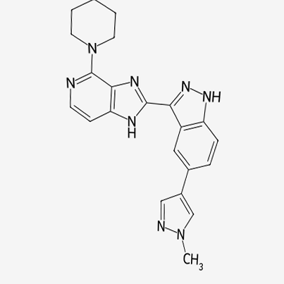 Cn1cc(-c2ccc3[nH]nc(-c4nc5c(N6CCCCC6)nccc5[nH]4)c3c2)cn1